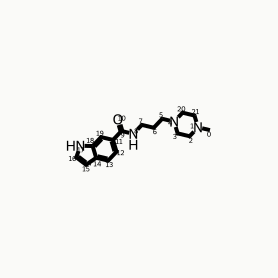 CN1CCN(CCCNC(=O)c2ccc3[c]c[nH]c3c2)CC1